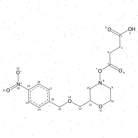 O=C(O)CCC(=O)ON1CCOC(COCc2ccc([N+](=O)[O-])cc2)C1